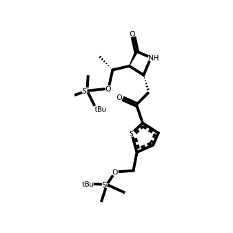 C[C@@H](O[Si](C)(C)C(C)(C)C)[C@H]1C(=O)N[C@@H]1CC(=O)c1ccc(CO[Si](C)(C)C(C)(C)C)s1